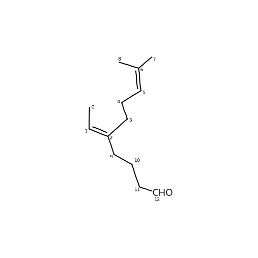 CC=C(CCC=C(C)C)CCCC=O